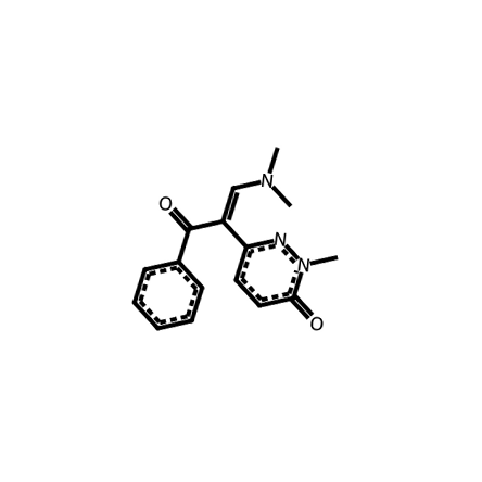 CN(C)C=C(C(=O)c1ccccc1)c1ccc(=O)n(C)n1